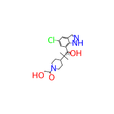 CC(C)(C1CCN(C(=O)CO)CC1)[C@H](O)c1cc(Cl)cc2cn[nH]c12